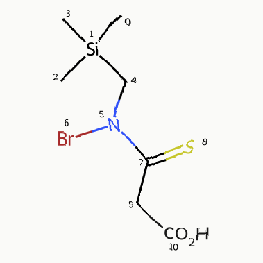 C[Si](C)(C)CN(Br)C(=S)CC(=O)O